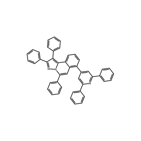 c1ccc(-c2cc(-c3cccc4c3cc(-c3ccccc3)n3nc(-c5ccccc5)c(-c5ccccc5)c43)cc(-c3ccccc3)n2)cc1